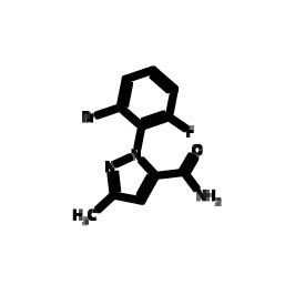 Cc1cc(C(N)=O)n(-c2c(F)cccc2Br)n1